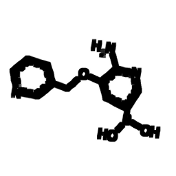 Nc1ncc(B(O)O)cc1OCc1cccnc1